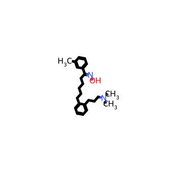 Cc1cccc(C(CCCCCc2ccccc2CCCN(C)C)=NO)c1